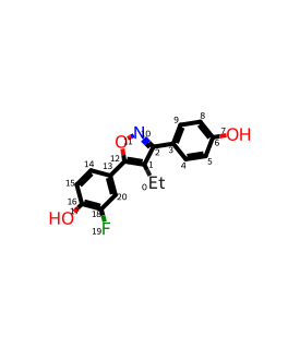 CCc1c(-c2ccc(O)cc2)noc1-c1ccc(O)c(F)c1